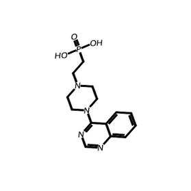 O=P(O)(O)CCN1CCN(c2ncnc3ccccc23)CC1